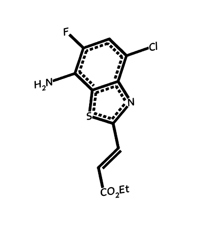 CCOC(=O)C=Cc1nc2c(Cl)cc(F)c(N)c2s1